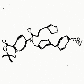 CCCCc1ccc(-c2ccc(CN(C(=O)CCC3CCCC3)c3ccc4c(c3)OC(C)(C)OC4=O)cc2)cc1